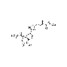 CC(=O)N1c2ccc(-c3noc(CCNC(=O)OC(C)(C)C)n3)cc2[C@H](NC(=O)O)C[C@@H]1C